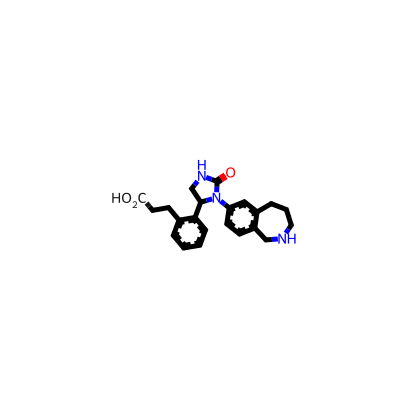 O=C(O)CCc1ccccc1C1CNC(=O)N1c1ccc2c(c1)CCCNC2